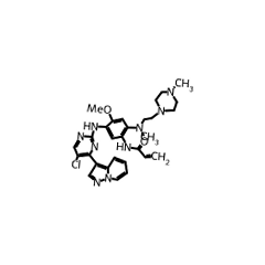 C=CC(=O)Nc1cc(Nc2ncc(Cl)c(-c3cnn4ccccc34)n2)c(OC)cc1N(C)CCN1CCN(C)CC1